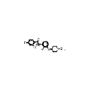 CN1CCC(Nc2cccc(NC(=O)c3ccc(F)cc3Cl)c2F)CC1